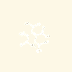 C=CC(N)=O.O=C(O)C=C(CC(O)O)C(=O)O